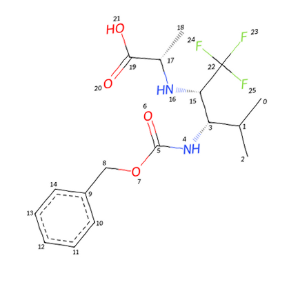 CC(C)[C@H](NC(=O)OCc1ccccc1)[C@H](N[C@@H](C)C(=O)O)C(F)(F)F